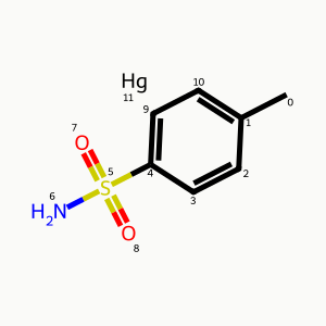 Cc1ccc(S(N)(=O)=O)cc1.[Hg]